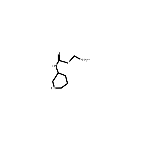 CCCCCCCCOC(=O)NC1CCCNC1